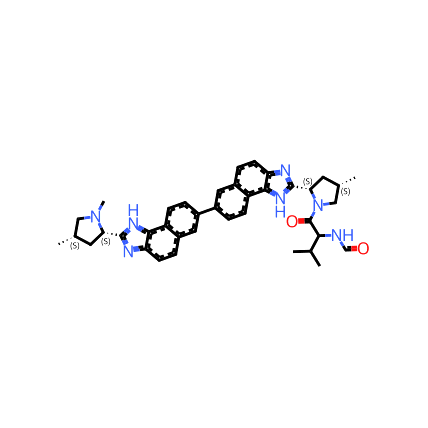 CC(C)C(NC=O)C(=O)N1C[C@@H](C)C[C@H]1c1nc2ccc3cc(-c4ccc5c(ccc6nc([C@@H]7C[C@H](C)CN7C)[nH]c65)c4)ccc3c2[nH]1